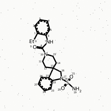 CCc1ccccc1NC(=O)N1CCC2(CC1)CN(S(N)(=O)=O)c1ccccc12